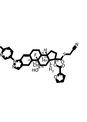 C[C@]12Cc3cnn(-c4ccc(F)nc4)c3C=C1CC[C@H]1[C@@H]3CC[C@](OC(=O)c4ccco4)(C(=O)SCC#N)[C@@]3(C)C[C@H](O)[C@@]12F